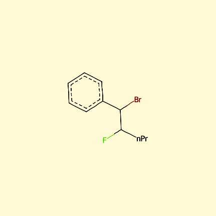 CCCC(F)C(Br)c1ccccc1